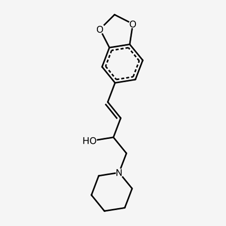 OC(/C=C/c1ccc2c(c1)OCO2)CN1CCCCC1